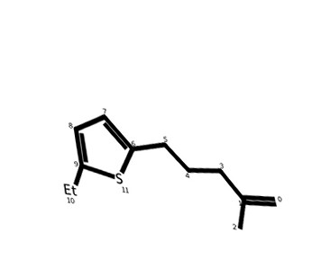 C=C(C)CCCc1ccc(CC)s1